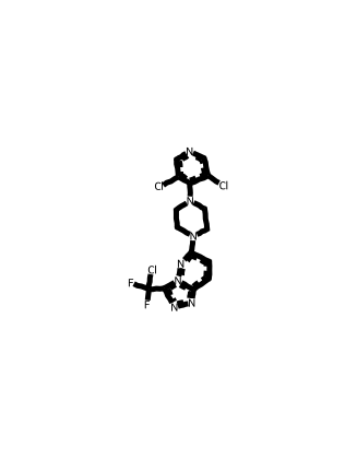 FC(F)(Cl)c1nnc2ccc(N3CCN(c4c(Cl)cncc4Cl)CC3)nn12